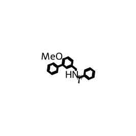 COc1ccc(CN[C@H](C)c2ccccc2)cc1-c1ccccc1